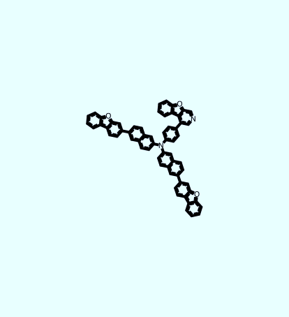 c1ccc2c(c1)oc1cc(-c3ccc4cc(N(c5ccc(-c6cncc7oc8ccccc8c67)cc5)c5ccc6cc(-c7ccc8c(c7)oc7ccccc78)ccc6c5)ccc4c3)ccc12